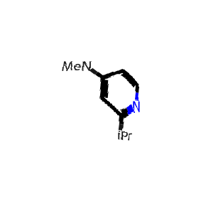 CNc1ccnc(C(C)C)c1